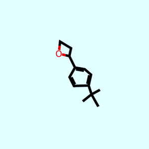 CC(C)(C)c1ccc(C2CCO2)cc1